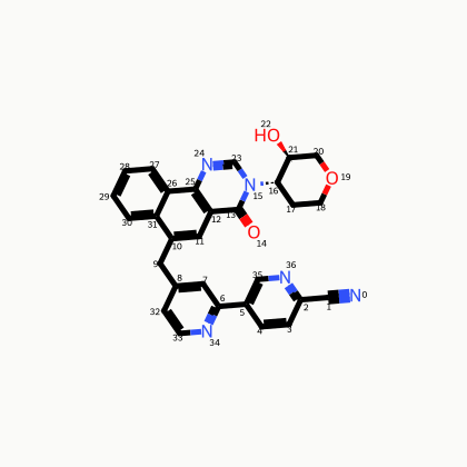 N#Cc1ccc(-c2cc(Cc3cc4c(=O)n([C@H]5CCOC[C@@H]5O)cnc4c4ccccc34)ccn2)cn1